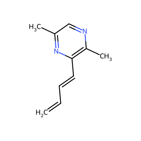 C=C/C=C/c1nc(C)cnc1C